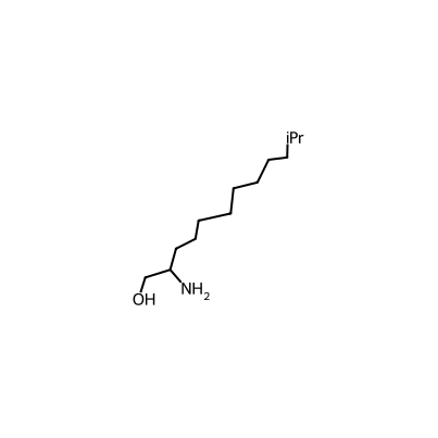 CC(C)CCCCCCCCC(N)CO